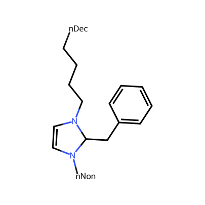 CCCCCCCCCCCCCCN1C=CN(CCCCCCCCC)C1Cc1ccccc1